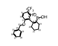 OB(O)C1=C(c2cc(C(F)(F)F)ccc2OCc2ccccc2)CCCC1